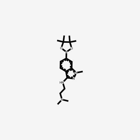 CN(C)CCNc1nn(C)c2cc(B3OC(C)(C)C(C)(C)O3)ccc12